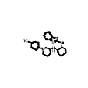 N#Cc1ccc(N2CCC[C@H](N[C@@H]3CCCC[C@H]3Nc3nc4ccccc4o3)C2)cc1